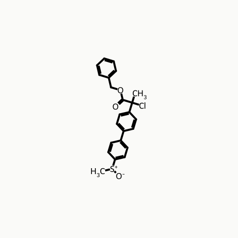 C[S+]([O-])c1ccc(-c2ccc(C(C)(Cl)C(=O)OCc3ccccc3)cc2)cc1